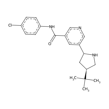 CC(C)(C)[C@@H]1CNC(c2cncc(C(=O)Nc3ccc(Cl)cc3)c2)C1